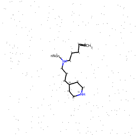 C=CCCCN(CCCCCCCCC)CCCC1CCNCC1